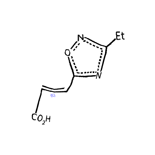 CCc1noc(/C=C/C(=O)O)n1